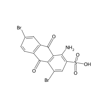 Nc1c(S(=O)(=O)O)cc(Br)c2c1C(=O)c1cc(Br)ccc1C2=O